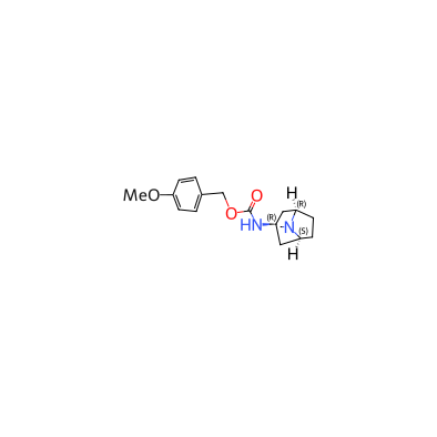 COc1ccc(COC(=O)N[C@H]2C[C@H]3CC[C@@H](C2)N3C)cc1